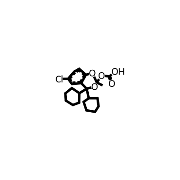 CC1(OC(=O)O)Oc2ccc(Cl)cc2C(C2CCCCC2)(C2CCCCC2)O1